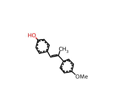 COc1ccc(C(C)=Cc2ccc(O)cc2)cc1